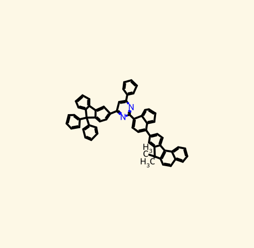 CC1(C)c2cc(-c3ccc(-c4nc(-c5ccccc5)cc(-c5ccc6c(c5)-c5ccccc5C6(c5ccccc5)c5ccccc5)n4)c4ccccc34)ccc2-c2c1ccc1ccccc21